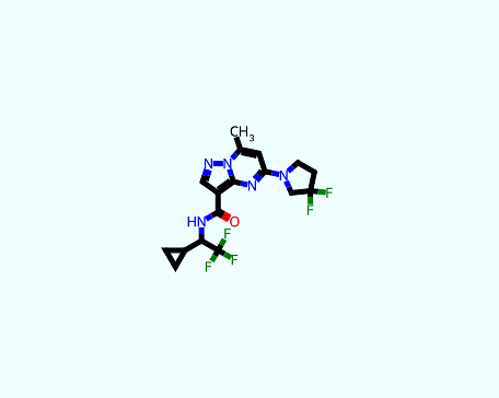 Cc1cc(N2CCC(F)(F)C2)nc2c(C(=O)NC(C3CC3)C(F)(F)F)cnn12